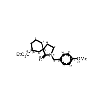 CCOC(=O)[C@@H]1CCC[C@]2(CCN(Cc3ccc(OC)cc3)C2=O)C1